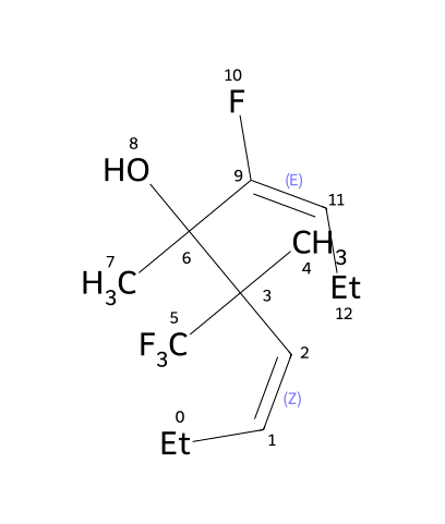 CC/C=C\C(C)(C(F)(F)F)C(C)(O)/C(F)=C\CC